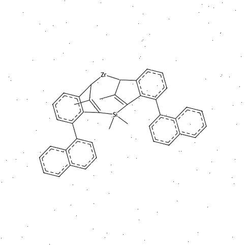 CC1=C2c3c(-c4cccc5ccccc45)cccc3[CH]1[Zr][CH]1C(C)=C(c3c(-c4cccc5ccccc45)cccc31)[Si]2(C)C